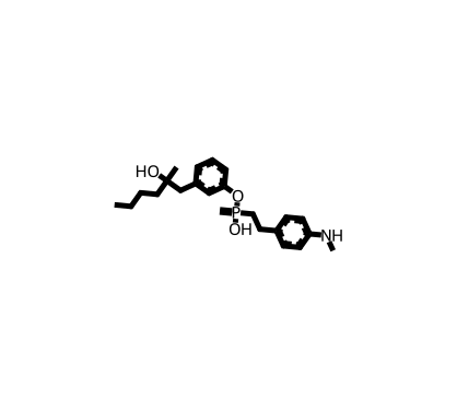 C=P(O)(CCc1ccc(NC)cc1)Oc1cccc(CC(C)(O)CCCC)c1